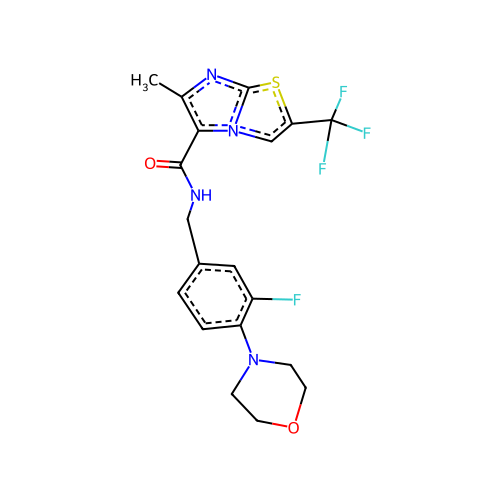 Cc1nc2sc(C(F)(F)F)cn2c1C(=O)NCc1ccc(N2CCOCC2)c(F)c1